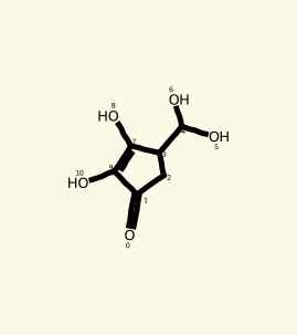 O=C1CC(C(O)O)C(O)=C1O